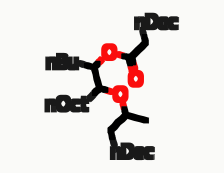 CCCCCCCCCCCC(=O)OC(CCCC)C(CCCCCCCC)OC(C)CCCCCCCCCCC